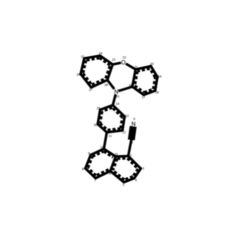 N#Cc1cccc2cccc(-c3ccc(N4c5ccccc5Oc5ccccc54)cc3)c12